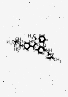 CCNC(=O)C(Sc1cnc(Nc2nc(C)cs2)c(Oc2ccccc2)c1)C1CCN(C(=O)OC(C)(C)C)CC1